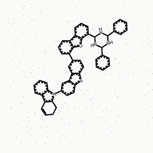 C1=Cc2c(n(-c3ccc4sc5ccc(-c6cccc7c6oc6c(C8NC(c9ccccc9)NC(c9ccccc9)N8)cccc67)cc5c4c3)c3ccccc23)CC1